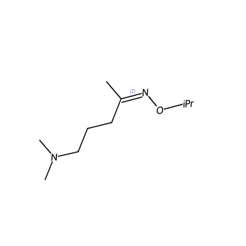 C/C(CCCN(C)C)=N/OC(C)C